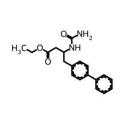 CCOC(=O)CC(Cc1ccc(-c2ccccc2)cc1)NC(N)=O